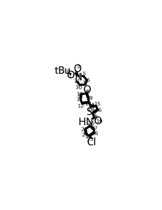 CC(C)(C)OC(=O)N1CCC(Oc2cccc(-c3ccc(C(=O)Nc4ccc(Cl)cc4)s3)c2)CC1